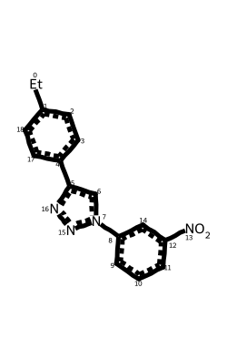 CCc1ccc(-c2cn(-c3cccc([N+](=O)[O-])c3)nn2)cc1